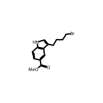 COC(=O)c1ccc2[nH]cc(CCCCBr)c2c1